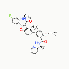 CNC(=O)c1c(-c2ccc(F)cc2)oc2ccc(-c3cc(C(=O)NC4(c5ccccn5)CC4)c(OCC4CC4)cc3C)cc12